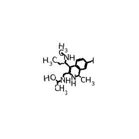 CC[C@@H](NC)C1=C(CNC(C)O)N[C@H](C)c2cc(I)ccc21